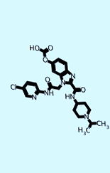 CC(C)N1CCC(NC(=O)c2nc3ccc(OC(=O)O)cc3n2CC(=O)Nc2ccc(Cl)cn2)CC1